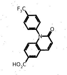 O=C(O)c1ccc2c(ccc(=O)n2-c2ccc(C(F)(F)F)cc2)c1